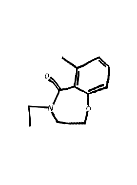 CCN1CCOc2cccc(C)c2C1=O